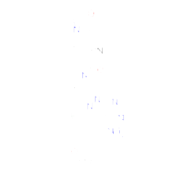 CC(C)(C=C(C#N)C(=O)N1CCCC1Cn1nc(-c2ccc(Oc3ccccc3)cc2F)c2c(N)ncnc21)CN1CCOCC1